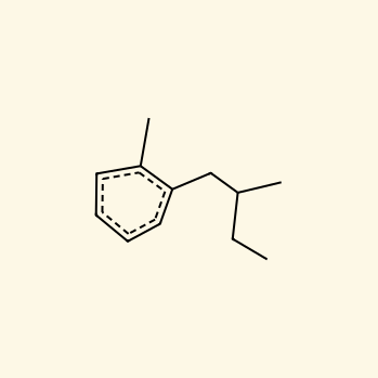 CCC(C)Cc1ccccc1C